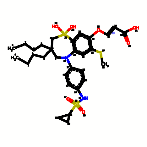 CCCCC1(CCCC)CN(c2ccc(NS(=O)(=O)C3CC3)cc2)c2cc(SC)c(O/C=C/C(=O)O)cc2S(O)(O)C1